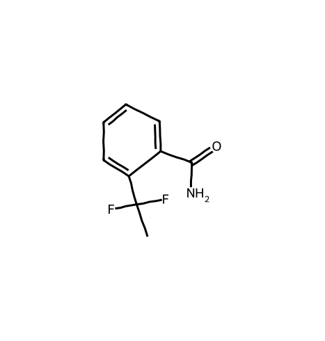 CC(F)(F)c1ccccc1C(N)=O